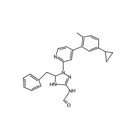 Cc1ccc(C2CC2)cc1-c1ccnc(N2N=C(NC=O)NC2Cc2ccccc2)c1